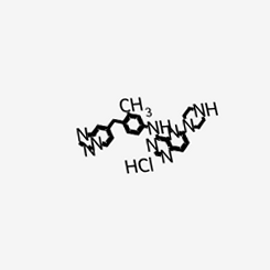 Cc1cc(Nc2ncnc3ccc(N4CCNCC4)nc23)ccc1Cc1ccn2ncnc2c1.Cl